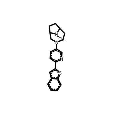 CN1C2CCC1CN(c1ccc(-c3cc4ccccc4s3)nc1)CC2